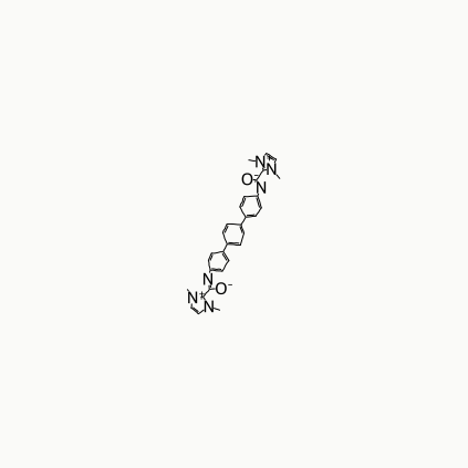 Cn1cc[n+](C)c1/C([O-])=N/c1ccc(-c2ccc(-c3ccc(/N=C(\[O-])c4n(C)cc[n+]4C)cc3)cc2)cc1